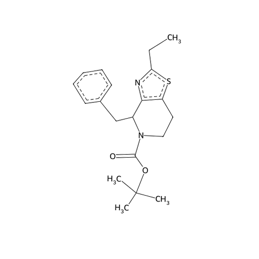 CCc1nc2c(s1)CCN(C(=O)OC(C)(C)C)C2Cc1ccccc1